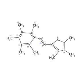 Cc1sc(/N=N/c2c(C)c(C)c(C)c(C)c2C)c(C)c1C